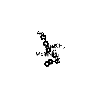 C=CC(=O)Nc1cc(Nc2cc(N3OCC[C@@H]3c3ccc4ccccc4c3)ncn2)c(OC)cc1N1CCC(N2CCN(C(C)=O)CC2)CC1